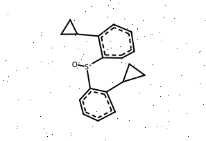 [O-][S+](c1ccccc1C1CC1)c1ccccc1C1CC1